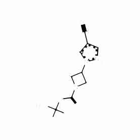 CC(C)(C)OC(=O)N1CC(n2cc(C#N)cn2)C1